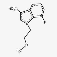 O=C(O)c1cn(CCOC(F)(F)F)c2c(F)cccc12